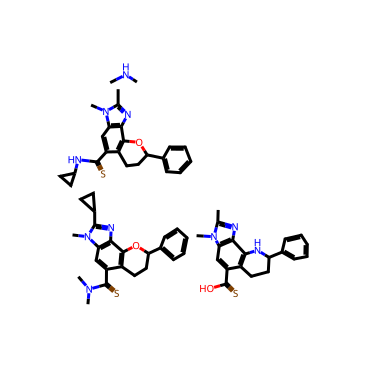 CN(C)C(=S)c1cc2c(nc(C3CC3)n2C)c2c1CCC(c1ccccc1)O2.CNC.Cc1nc2c3c(c(C(=S)NC4CC4)cc2n1C)CCC(c1ccccc1)O3.Cc1nc2c3c(c(C(O)=S)cc2n1C)CCC(c1ccccc1)N3